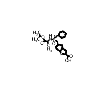 CC(C)OC(=O)C(C)NP(=O)(Cc1ccc2sc(C(=O)O)cc2c1)Oc1ccccc1